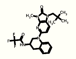 Cn1c(=O)n(CC(C)(C)C)c2ccc(N3CC(NC(=O)C(F)(F)F)Cc4ccccc43)nc21